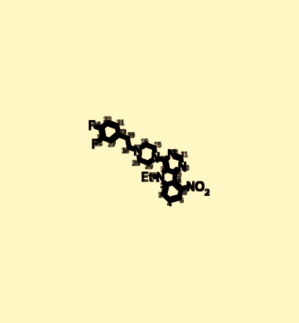 CCn1c2cccc([N+](=O)[O-])c2c2ncnc(N3CCN(CCc4ccc(F)c(F)c4)CC3)c21